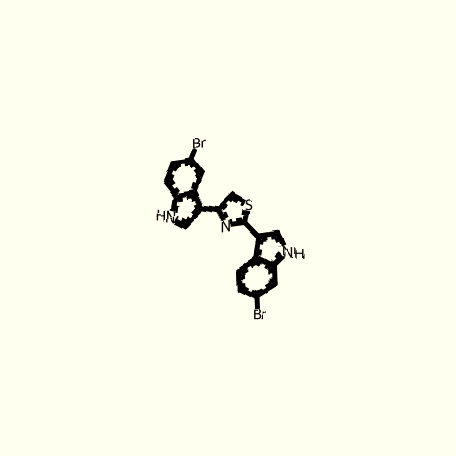 Brc1ccc2c(-c3nc(-c4c[nH]c5ccc(Br)cc45)cs3)c[nH]c2c1